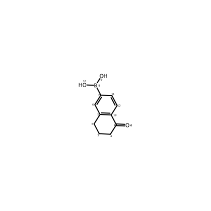 O=C1CCCc2cc(B(O)O)ccc21